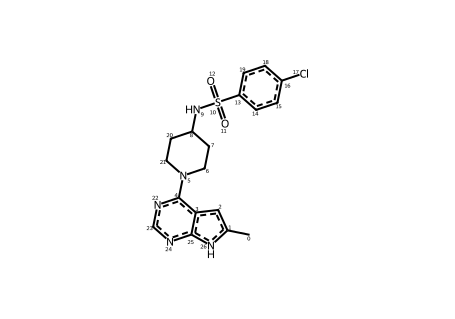 Cc1cc2c(N3CCC(NS(=O)(=O)c4ccc(Cl)cc4)CC3)ncnc2[nH]1